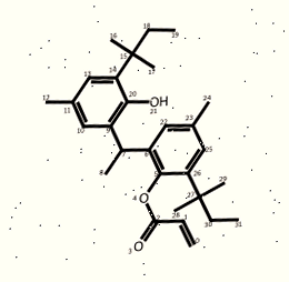 C=CC(=O)Oc1c(C(C)c2cc(C)cc(C(C)(C)CC)c2O)cc(C)cc1C(C)(C)CC